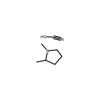 CC1CCCN1C.N#CO